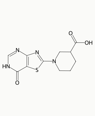 O=C(O)C1CCCN(c2nc3nc[nH]c(=O)c3s2)C1